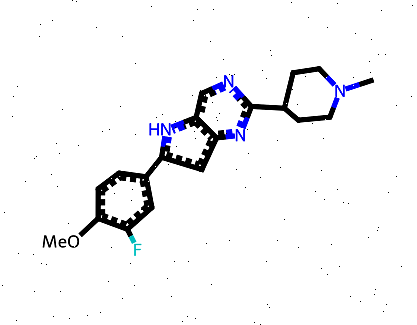 COc1ccc(-c2cc3nc(C4CCN(C)CC4)ncc3[nH]2)cc1F